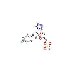 CS(=O)(=O)OCC1COC(CCc2ccc(F)cc2)(Cn2ccnc2)O1